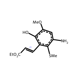 CCOC(=O)/C=C/c1c(O)c(OC)cc(N)c1SC